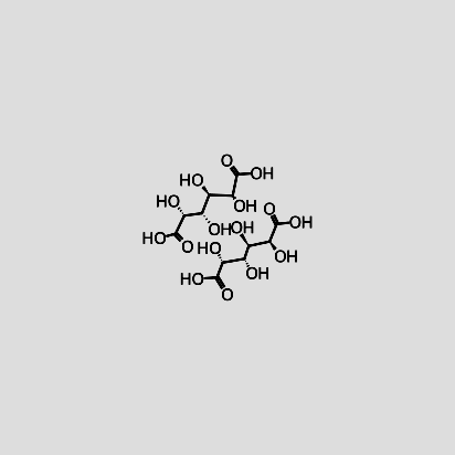 O=C(O)[C@@H](O)[C@H](O)[C@H](O)[C@@H](O)C(=O)O.O=C(O)[C@@H](O)[C@H](O)[C@H](O)[C@@H](O)C(=O)O